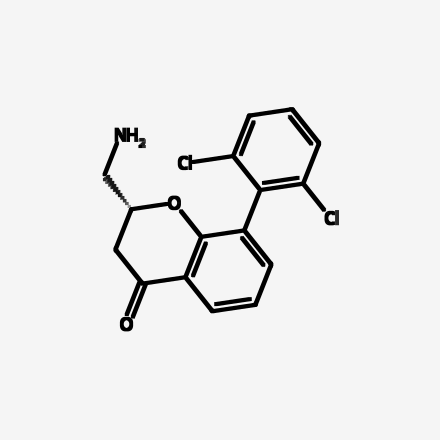 NC[C@H]1CC(=O)c2cccc(-c3c(Cl)cccc3Cl)c2O1